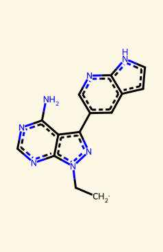 [CH2]Cn1nc(-c2cnc3[nH]ccc3c2)c2c(N)ncnc21